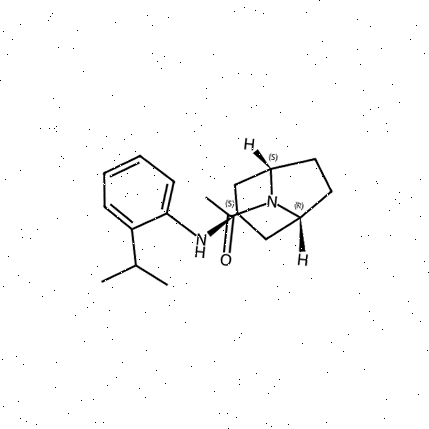 CC(=O)N1[C@@H]2CC[C@H]1C[C@H](Nc1ccccc1C(C)C)C2